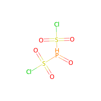 O=[PH](S(=O)(=O)Cl)S(=O)(=O)Cl